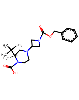 CC(C)(C)[C@@]1(C)CN(C2CN(C(=O)OCc3ccccc3)C2)CCN1C(=O)O